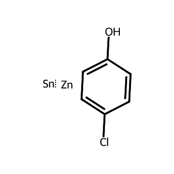 Oc1ccc(Cl)cc1.[Sn].[Zn]